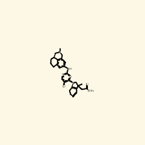 COC(=O)CC1(C)CN(c2nc(Nc3cc4c5c(c3)CN(C)CC5CCC4)ncc2Cl)C2=C1C=CCC2